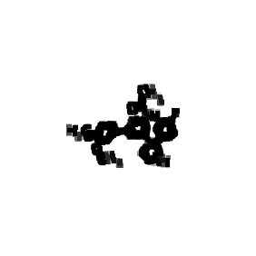 COc1ccc(-c2cc(N3CCNCC3c3ccc(F)cc3)cc(NC(C)=O)n2)cc1OC